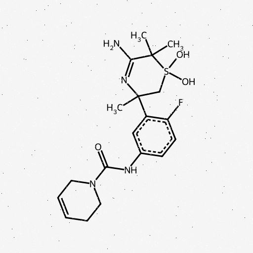 CC1(c2cc(NC(=O)N3CC=CCC3)ccc2F)CS(O)(O)C(C)(C)C(N)=N1